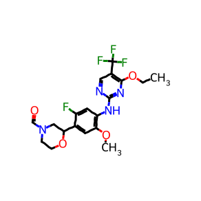 CCOc1nc(Nc2cc(F)c(C3CN(C=O)CCO3)cc2OC)ncc1C(F)(F)F